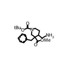 COC(=O)C1(Cc2ccccc2)CN(C(=O)OC(C)(C)C)CCC1CN